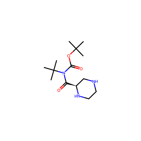 CC(C)(C)OC(=O)N(C(=O)[C@H]1CNCCN1)C(C)(C)C